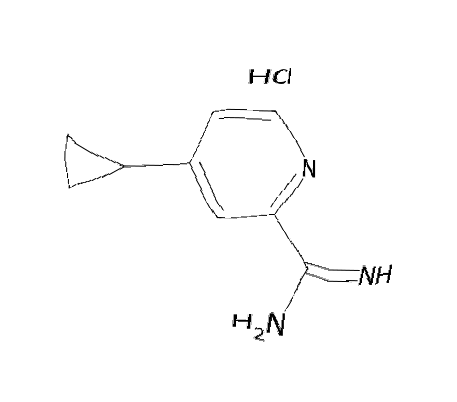 Cl.N=C(N)c1cc(C2CC2)ccn1